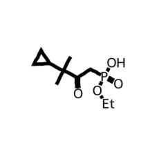 CCOP(=O)(O)CC(=O)C(C)(C)C1CC1